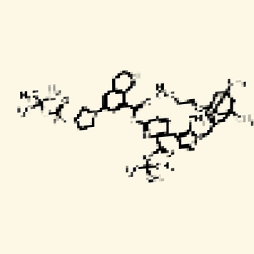 COCCOC12CC3(C)CC(C)(CC(Cn4ncc(-c5ccc(OC(=O)c6cc(N7CC[C@H](NC(=O)OC(C)(C)C)C7)cc7c6CNCC7)nc5C(=O)OC(C)(C)C)c4C)(C3)C1)C2